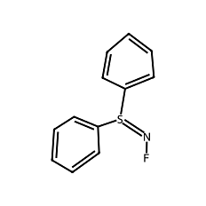 FN=S(c1ccccc1)c1ccccc1